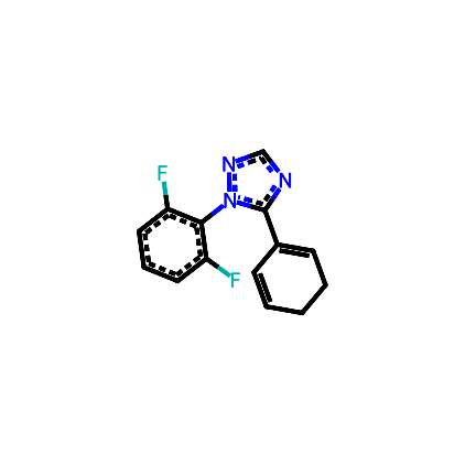 Fc1cccc(F)c1-n1ncnc1C1=CCCC=C1